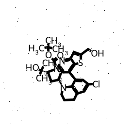 CC(C)(C)OC(=O)N1C[C@@H](N2CCCc3cc(Cl)cc(-c4ccnc5cc(CO)sc45)c32)C[C@@H]1C(C)(C)O